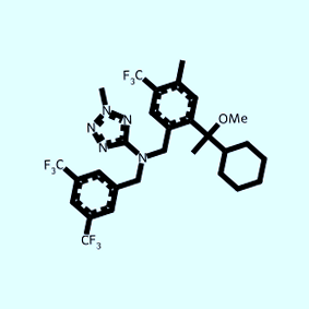 COC(C)(c1cc(C)c(C(F)(F)F)cc1CN(Cc1cc(C(F)(F)F)cc(C(F)(F)F)c1)c1nnn(C)n1)C1CCCCC1